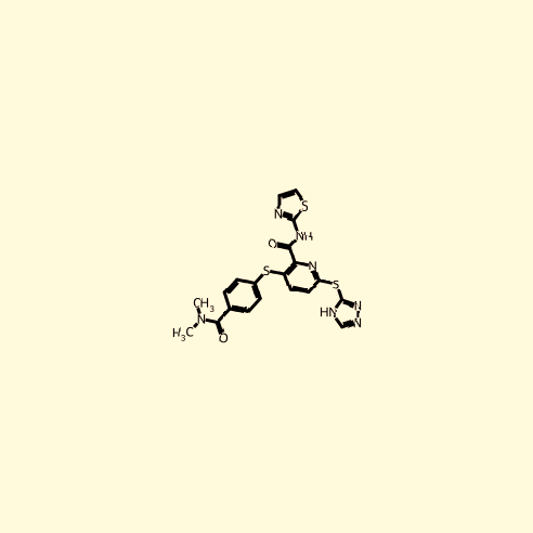 CN(C)C(=O)c1ccc(Sc2ccc(Sc3nnc[nH]3)nc2C(=O)Nc2nccs2)cc1